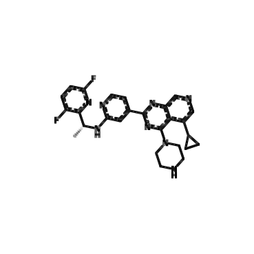 C[C@@H](Nc1cc(-c2nc(N3CCNCC3)c3c(C4CC4)cncc3n2)ccn1)c1nc(F)ccc1F